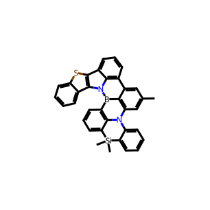 Cc1cc2c3c(c1)N1c4ccccc4[Si](C)(C)c4cccc(c41)B3n1c3c-2cccc3c2sc3ccccc3c21